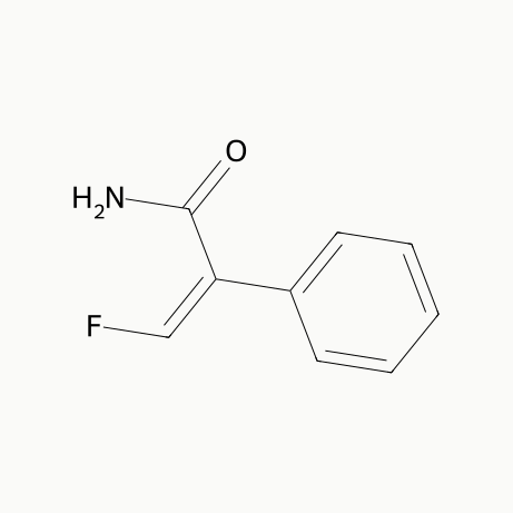 NC(=O)C(=CF)c1ccccc1